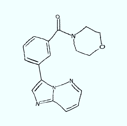 O=C(c1cccc(-c2cnc3cccnn23)c1)N1CCOCC1